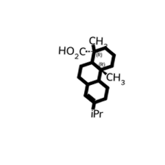 CC(C)C1=CC2CCC3[C@](C)(CCC[C@@]3(C)C(=O)O)C2CC1